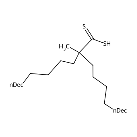 CCCCCCCCCCCCCCC(C)(CCCCCCCCCCCCCC)C(=S)S